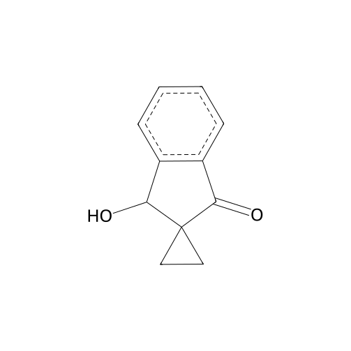 O=C1c2ccccc2C(O)C12CC2